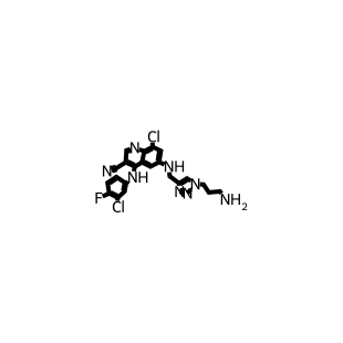 N#Cc1cnc2c(Cl)cc(NCc3cn(CCCN)nn3)cc2c1Nc1ccc(F)c(Cl)c1